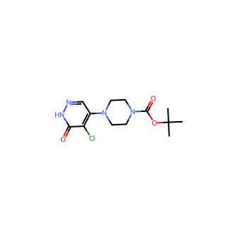 CC(C)(C)OC(=O)N1CCN(c2cn[nH]c(=O)c2Cl)CC1